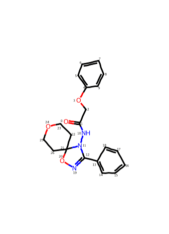 O=C(COc1ccccc1)NN1C(c2ccccc2)=NOC12CCOCC2